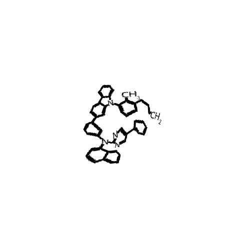 C=C/C=C\c1cccc(-n2c3ccccc3c3ccc(-c4cccc(N(c5ncc(-c6ccccc6)cn5)c5cccc6ccccc56)c4)cc32)c1C